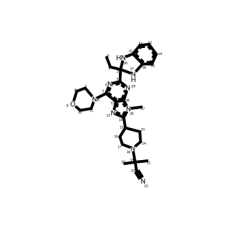 CCC1(c2nc(N3CCOCC3)c3nc(C4CCN(C(C)(C)C#N)CC4)n(C)c3n2)Nc2ccccc2N1